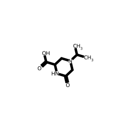 CC(C)N1CC(=O)NC(C(=O)O)C1